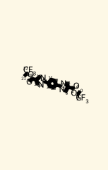 C[C@H](OC(=O)c1cnc(-c2ccc(-c3ncc(C(=O)O[C@@H](C)C(F)(F)F)cn3)cc2)nc1)C(F)(F)F